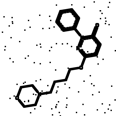 O=c1ccc(OCCCCN2CCOCC2)nn1-c1ccccc1